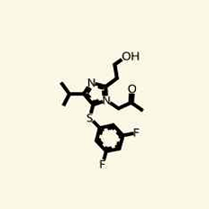 CC(=O)Cn1c(CCO)nc(C(C)C)c1Sc1cc(F)cc(F)c1